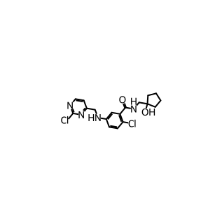 O=C(NCC1(O)CCCC1)c1cc(NCc2ccnc(Cl)n2)ccc1Cl